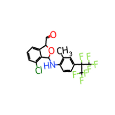 Cc1cc(C(F)(C(F)(F)F)C(F)(F)F)ccc1NC1OC(C=O)c2cccc(Cl)c21